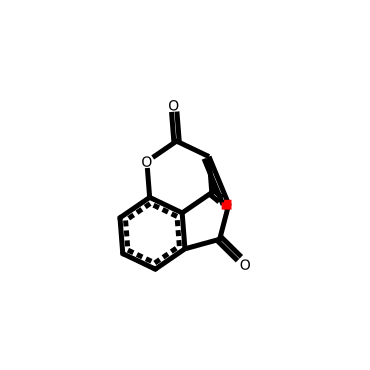 O=C1Oc2cccc3c2C(=O)C1=CC3=O